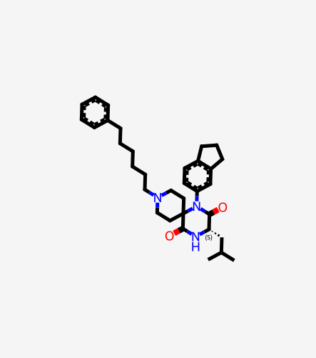 CC(C)C[C@@H]1NC(=O)C2(CCN(CCCCCCc3ccccc3)CC2)N(c2ccc3c(c2)CCC3)C1=O